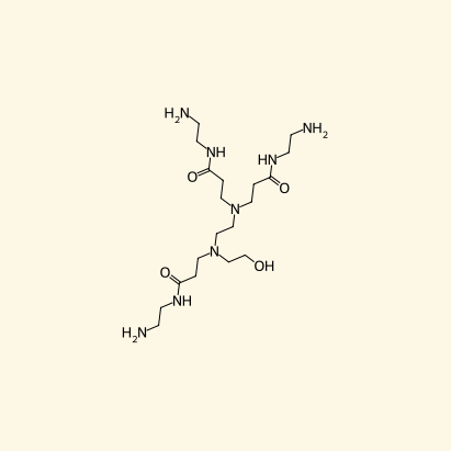 NCCNC(=O)CCN(CCO)CCN(CCC(=O)NCCN)CCC(=O)NCCN